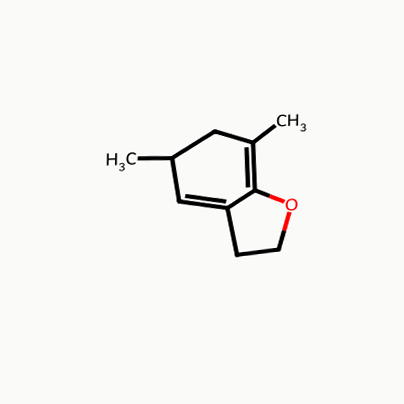 CC1=C2OCCC2=CC(C)C1